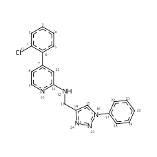 Clc1ccccc1-c1ccnc(NCc2cn(-c3ccccc3)nn2)c1